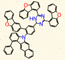 c1ccc(-c2cccc3c2c2cc4ccccc4cc2n3-c2ccc(C3N=C(c4cccc5oc6ccccc6c45)N=C(c4cccc5oc6ccccc6c45)N3)cc2-c2ccc3oc4ccccc4c3c2)cc1